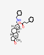 C[C@]12CC[C@@](CNCc3ccccc3)(OC(=O)CCc3ccccc3)C[C@@H]1CC[C@@H]1[C@@H]2CC[C@]2(C)C(=O)CC[C@@H]12